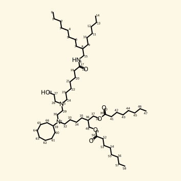 CCCCCCCCC(CCCCCC)CNC(=O)CCCCCCN(CCO)CCN(CCCCC(COC(=O)CCCCCCC)COC(=O)CCCCCCC)C1CCCCCCC1